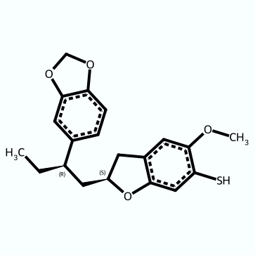 CC[C@H](C[C@H]1Cc2cc(OC)c(S)cc2O1)c1ccc2c(c1)OCO2